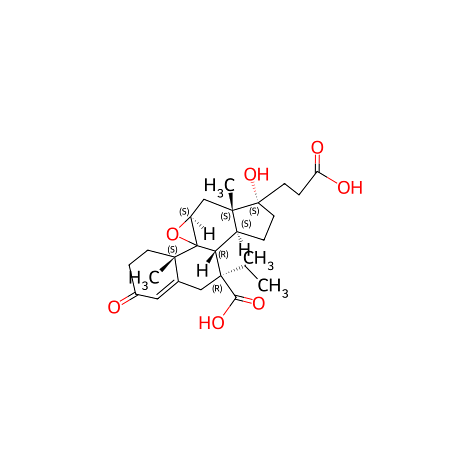 CC(C)[C@]1(C(=O)O)CC2=CC(=O)CC[C@]2(C)C23O[C@H]2C[C@@]2(C)[C@@H](CC[C@]2(O)CCC(=O)O)[C@@H]31